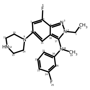 CCn1nc2c(F)cc(N3CCNCC3)cc2c1N(C)c1c[c]cc(F)c1